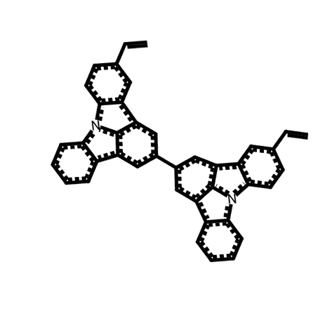 C=Cc1ccc2c(c1)c1cc(-c3cc4c5ccccc5n5c6ccc(C=C)cc6c(c3)c45)cc3c4ccccc4n2c31